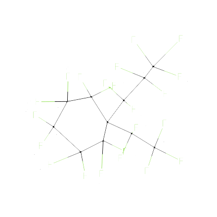 FC(F)(F)C(F)(F)C(F)(F)C1(C(F)(F)C(F)(F)F)C(F)(F)C(F)(F)C(F)(F)C(F)(F)C1(F)F